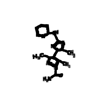 Cc1nn(C(N)=O)c(C)c1-c1nc(Nc2ccccn2)sc1C